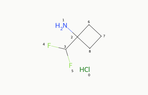 Cl.NC1(C(F)F)CCC1